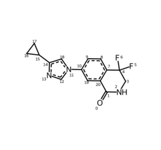 O=C1NCC(F)(F)c2ccc(-n3cnc(C4CC4)c3)cc21